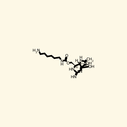 C=C1N[C@H]2[C@H](COC(=O)NCCCCCCN)NC(=N)N3CCC(O)(O)[C@]23N1